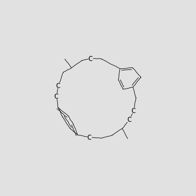 CC1CCCc2ccc(cc2)CCCC(C)CCCc2ccc(cc2)CCC1